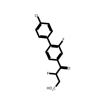 O=C(O)CC(F)C(=O)c1ccc(-c2ccc(Cl)cc2)c(F)c1